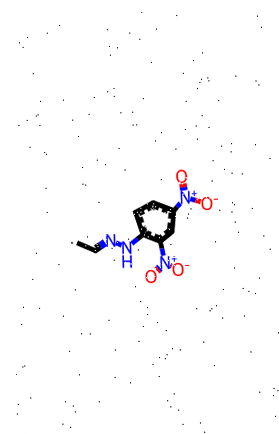 [CH2]C=NNc1ccc([N+](=O)[O-])cc1[N+](=O)[O-]